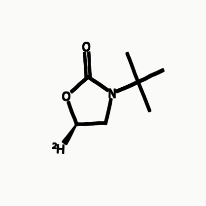 [2H][C@@H]1CN(C(C)(C)C)C(=O)O1